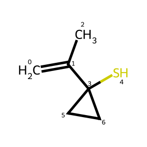 C=C(C)C1(S)CC1